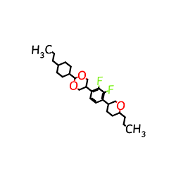 CCCC1CCC(C2OCC(c3ccc(C4CCC(CCC)OC4)c(F)c3F)CO2)CC1